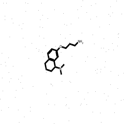 CN(C)C1CCCc2ccc(OCCCN)cc21